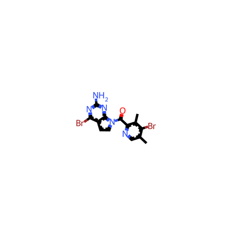 Cc1cnc(C(=O)n2ccc3c(Br)nc(N)nc32)c(C)c1Br